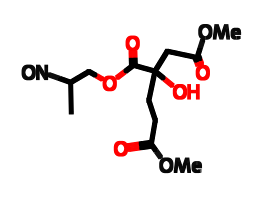 COC(=O)CCC(O)(CC(=O)OC)C(=O)OCC(C)N=O